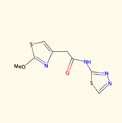 COc1nc(CC(=O)Nc2nncs2)cs1